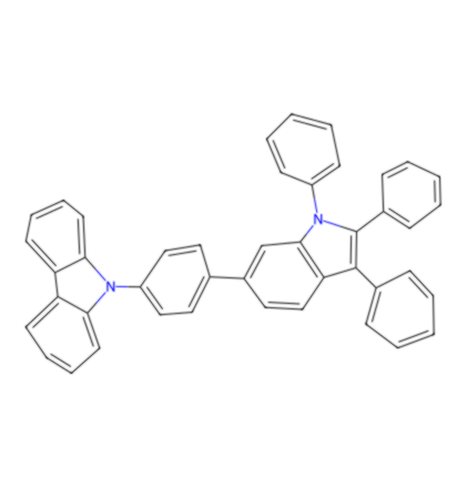 c1ccc(-c2c(-c3ccccc3)n(-c3ccccc3)c3cc(-c4ccc(-n5c6ccccc6c6ccccc65)cc4)ccc23)cc1